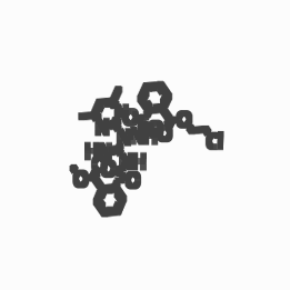 COC(=O)c1ccccc1S(=O)(=O)NC(=N)N(NS(=O)(=O)c1ccccc1C(=O)OCCCl)c1nc(C)cc(C)n1